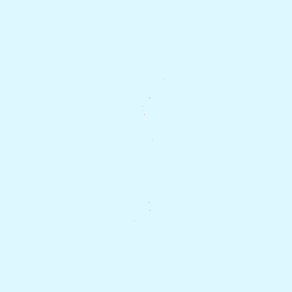 O=C(CC[CH]c1ccccc1)c1cc2ccccc2o1